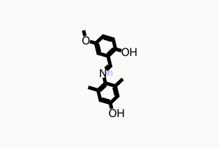 COc1ccc(O)c(/C=N/c2c(C)cc(O)cc2C)c1